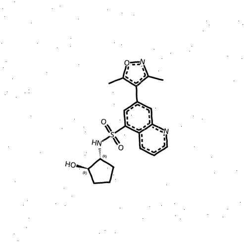 Cc1noc(C)c1-c1cc(S(=O)(=O)N[C@@H]2CCC[C@H]2O)c2cccnc2c1